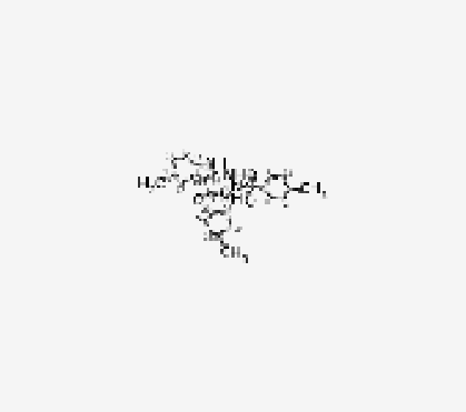 Cc1ccc(S(=O)(=O)NNc2[nH]c3ccc(C)cc3c2S(=O)(=O)c2ccc(C)cc2)cc1